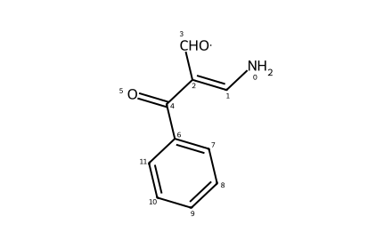 NC=C([C]=O)C(=O)c1ccccc1